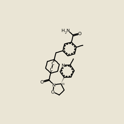 Cc1ccc([C@@H]2CCON2C(=O)C23CCC(Cc4ccc(C)c(C(N)=O)c4)(CC2)CC3)cn1